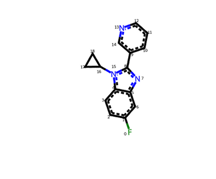 Fc1ccc2c(c1)nc(-c1cccnc1)n2C1CC1